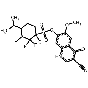 COc1cc2c(=O)c(C#N)c[nH]c2cc1OS(=O)(=O)C1(C)CCC(C(C)C)C(F)C1(F)F